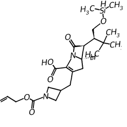 C=CCOC(=O)N1CC(CC2=C(C(=O)O)N3C(=O)[C@@H]([C@@H](CO[SiH](C)C)C(C)(C)C)[C@H]3C2)C1